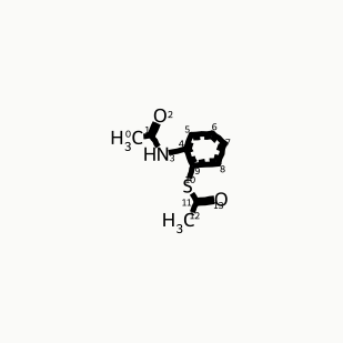 CC(=O)Nc1ccccc1SC(C)=O